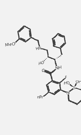 CCCc1cc(C(=O)N[C@@H](Cc2ccccc2)[C@H](O)CNCc2cccc(OC)c2)c(F)c(N2CCCCS2(O)O)c1